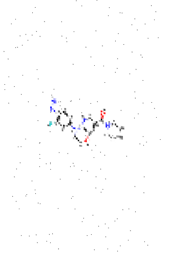 N=Nc1ccc(N2CCOc3cc(C(=O)N4CCCCC4)cnc32)cc1F